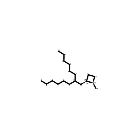 CCCCCCC(CCCCCC)C[C@H]1CCN1C